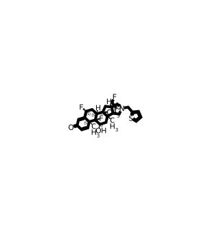 C[C@]12C[C@H](O)[C@@]3(F)[C@@H](C[C@H](F)C4=CC(=O)C=C[C@@]43C)[C@]1(C)C[C@H]1CN(Cc3cccs3)C[C@]12C(=O)CF